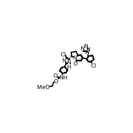 COCCOC(=O)Nc1ccc(-c2nc(Cl)c([C@@H]3CCc4cc(-c5cc(Cl)ccc5-n5cnnn5)cc(=O)n43)[nH]2)cc1